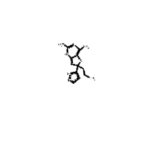 CCCC1(c2ccn[nH]2)C=C2NC(N)=NC(N)=C2S1